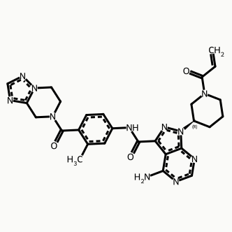 C=CC(=O)N1CCC[C@@H](n2nc(C(=O)Nc3ccc(C(=O)N4CCn5ncnc5C4)c(C)c3)c3c(N)ncnc32)C1